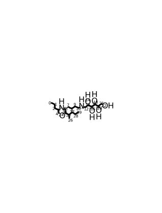 CCCC(C)N[C@@H](CCCCNCC(O)C(O)C(O)C(O)CO)C(=O)C(C)CCC